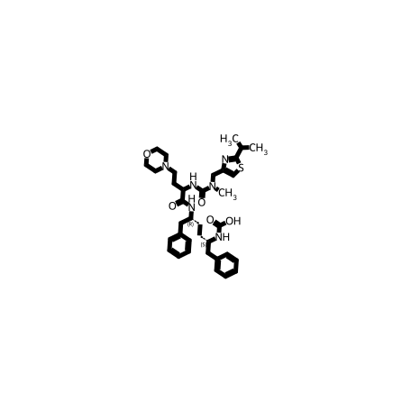 CC(C)c1nc(CN(C)C(=O)NC(CCN2CCOCC2)C(=O)N[C@H](CC[C@@H](Cc2ccccc2)NC(=O)O)Cc2ccccc2)cs1